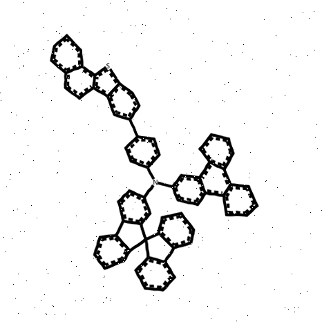 c1ccc2c(c1)-c1ccccc1C21c2ccccc2-c2ccc(N(c3ccc(-c4ccc5sc6c7ccccc7ccc6c5c4)cc3)c3ccc4c5ccccc5c5ccccc5c4c3)cc21